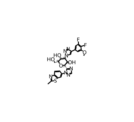 COc1cc(-c2cn([C@H]3[C@@H](O)[C@@H](CO)O[C@@H](c4ncnn4-c4ccc5nc(C)sc5c4)[C@@H]3O)nn2)cc(F)c1F